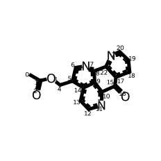 CC(=O)OCc1cnc2c3c(nccc13)C(=O)c1cccnc1-2